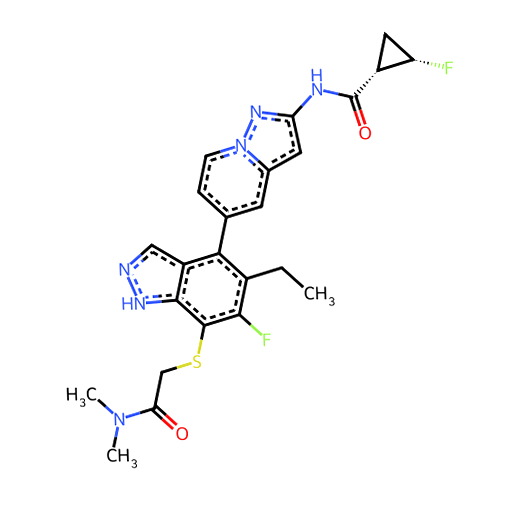 CCc1c(F)c(SCC(=O)N(C)C)c2[nH]ncc2c1-c1ccn2nc(NC(=O)[C@@H]3C[C@@H]3F)cc2c1